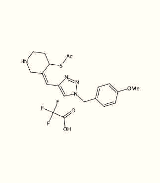 COc1ccc(Cn2cc(/C=C3/CNCCC3SC(C)=O)nn2)cc1.O=C(O)C(F)(F)F